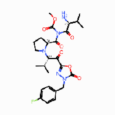 COC(=O)N(C(=O)[C@@H](N)C(C)C)C(=O)[C@@H]1CCCN1[C@H](C(=O)c1nn(Cc2ccc(F)cc2)c(=O)o1)C(C)C